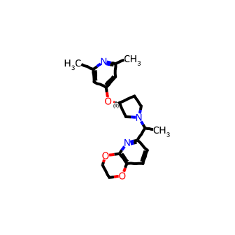 Cc1cc(O[C@@H]2CCN(C(C)c3ccc4c(n3)OCCO4)C2)cc(C)n1